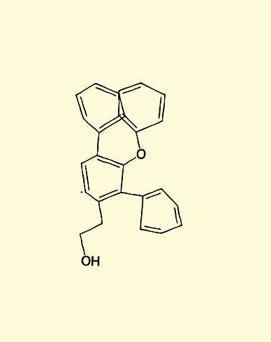 OCCc1[c]cc(-c2ccccc2)c(Oc2ccccc2)c1-c1ccccc1